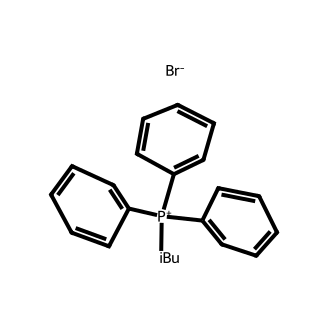 CCC(C)[P+](c1ccccc1)(c1ccccc1)c1ccccc1.[Br-]